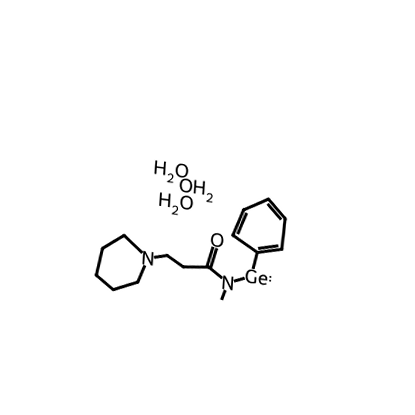 C[N]([Ge][c]1ccccc1)C(=O)CCN1CCCCC1.O.O.O